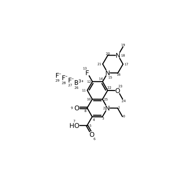 CCn1cc(C(=O)O)c(=O)c2cc(F)c(N3CCN(C)CC3)c(OC)c21.[B+3].[F-].[F-].[F-]